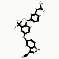 N#Cc1n[nH]c2ccc(Oc3ccc(Oc4cccc(CC(=O)O)c4)c(C(F)(F)F)c3)cc12